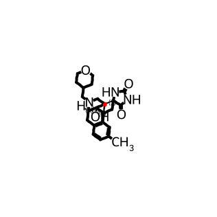 Cc1ccc2c(c1)[C@]13CCN(CC4CCOCC4)[C@H](C2)[C@]1(O)CC[C@@]1(C3)NC(=O)NC1=O